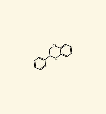 [C]1c2ccccc2OCC1c1ccccc1